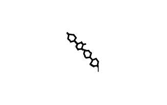 CC1CCC(C2CCC(C3CCC(C4CCC(I)CC4)CC3)C(C)C2)CC1